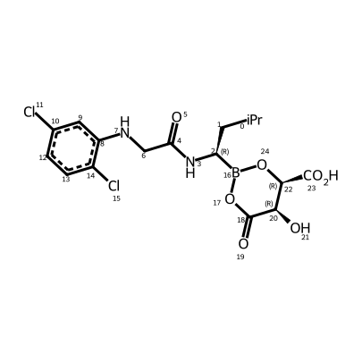 CC(C)C[C@H](NC(=O)CNc1cc(Cl)ccc1Cl)B1OC(=O)[C@H](O)[C@H](C(=O)O)O1